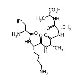 CC(C)C[C@H](N)C(=O)N[C@@H](CCCCN)C(=O)N[C@@H](C)C(=O)N[C@@H](C)C(=O)N[C@@H](C)C(=O)O